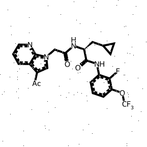 CC(=O)c1cn(CC(=O)N[C@@H](CC2CC2)C(=O)Nc2cccc(OC(F)(F)F)c2F)c2ncccc12